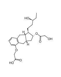 CC[C@H](O)CC[C@@H]1[C@H]2Cc3cccc(OCC(=O)O)c3C[C@H]2C[C@H]1OC(=O)CO